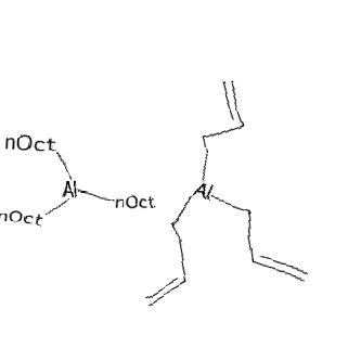 C=C[CH2][Al]([CH2]C=C)[CH2]C=C.CCCCCCC[CH2][Al]([CH2]CCCCCCC)[CH2]CCCCCCC